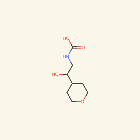 O=C(O)NCC(O)C1CCOCC1